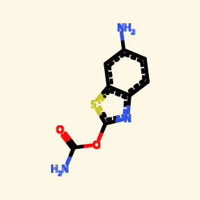 NC(=O)Oc1nc2ccc(N)cc2s1